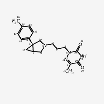 Cc1nn(CCCN2CC3C[C@]3(c3ccc(C(F)(F)F)cc3)C2)c(=O)[nH]c1=O